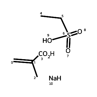 C=C(C)C(=O)O.CCS(=O)(=O)O.[NaH]